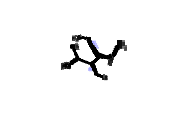 C/C=C(NN)\C(=C/CC)C(O)O